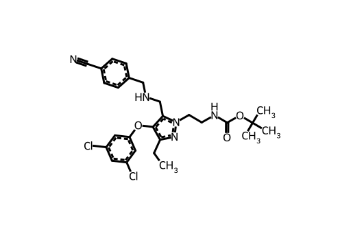 CCc1nn(CCNC(=O)OC(C)(C)C)c(CNCc2ccc(C#N)cc2)c1Oc1cc(Cl)cc(Cl)c1